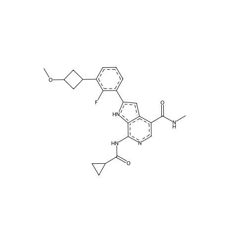 CNC(=O)c1cnc(NC(=O)C2CC2)c2[nH]c(-c3cccc(C4CC(OC)C4)c3F)cc12